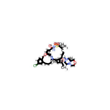 CCCO[C@]1(CN2CCN3CCOC[C@@H]3C2)/C=C/C[C@H](C)[C@@H](C)S(=O)(=O)NC(=O)c2ccc3c(c2)N(CCCCc2cc(Cl)ccc2CO3)C[C@@H]2CC[C@@H]21